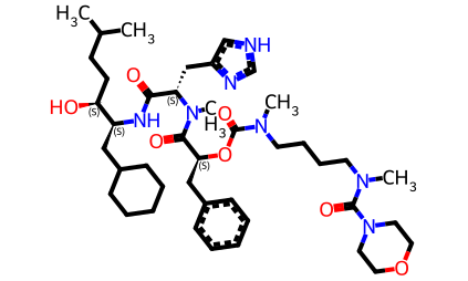 CC(C)CC[C@H](O)[C@H](CC1CCCCC1)NC(=O)[C@H](Cc1c[nH]cn1)N(C)C(=O)[C@H](Cc1ccccc1)OC(=O)N(C)CCCCN(C)C(=O)N1CCOCC1